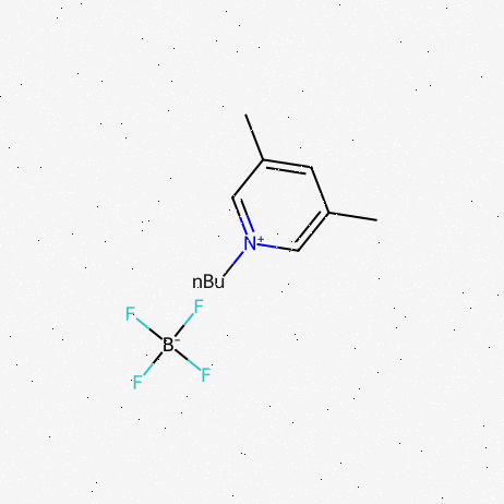 CCCC[n+]1cc(C)cc(C)c1.F[B-](F)(F)F